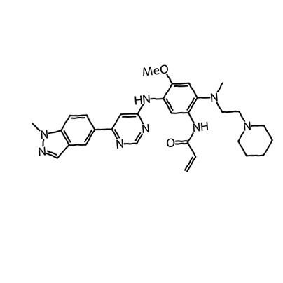 C=CC(=O)Nc1cc(Nc2cc(-c3ccc4c(cnn4C)c3)ncn2)c(OC)cc1N(C)CCN1CCCCC1